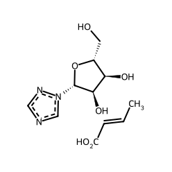 CC=CC(=O)O.OC[C@H]1O[C@@H](n2cncn2)[C@H](O)[C@@H]1O